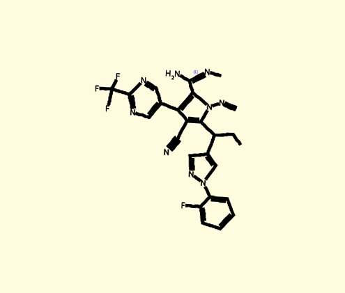 C=Nn1c(/C(N)=N\C)c(-c2cnc(C(F)(F)F)nc2)c(C#N)c1C(CC)c1cnn(-c2ccccc2F)c1